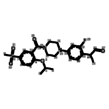 CC(C)Oc1ccc(S(C)(=O)=O)cc1C(=O)N1CCN(c2ccc(C(C)C=O)c(F)c2)CC1